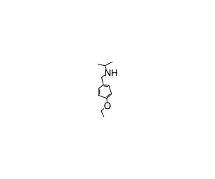 CCOc1ccc(CNC(C)C)cc1